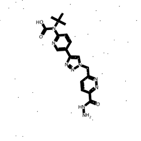 CC(C)(C)N(C(=O)O)c1ccc(-c2cn(Cc3ccc(C(=O)NN)nn3)nn2)cn1